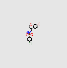 [O]c1ccc2c(c1)OCCC2CNS(=O)(=O)c1ccc(Cl)cc1